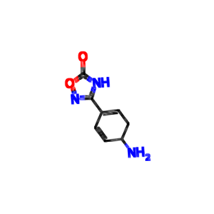 NC1C=CC(c2noc(=O)[nH]2)=CC1